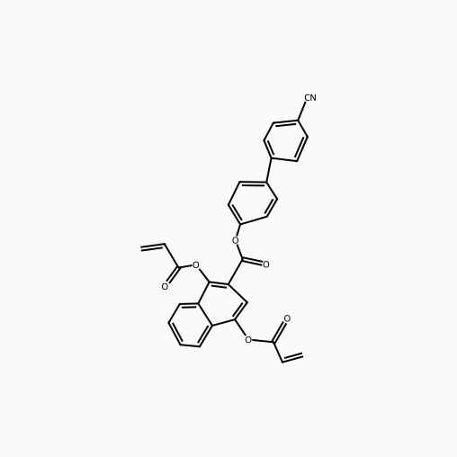 C=CC(=O)Oc1cc(C(=O)Oc2ccc(-c3ccc(C#N)cc3)cc2)c(OC(=O)C=C)c2ccccc12